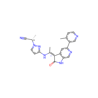 C/C(Nc1ccn([C@@H](C)C#N)n1)=C1/C(=O)Nc2cnc(-c3cnccc3C)cc21